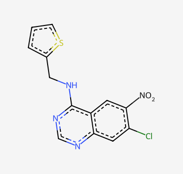 O=[N+]([O-])c1cc2c(NCc3cccs3)ncnc2cc1Cl